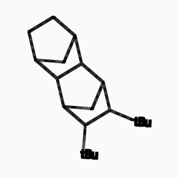 CC(C)(C)C1C2CC(C3C4CCC(C4)C23)C1C(C)(C)C